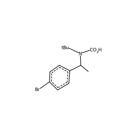 CC(c1ccc(Br)cc1)N(C(=O)O)C(C)(C)C